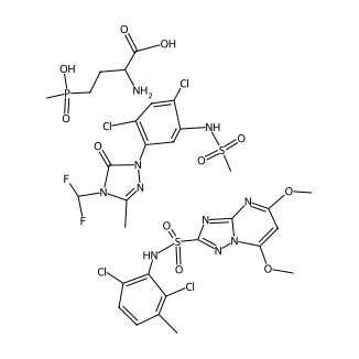 COc1cc(OC)n2nc(S(=O)(=O)Nc3c(Cl)ccc(C)c3Cl)nc2n1.CP(=O)(O)CCC(N)C(=O)O.Cc1nn(-c2cc(NS(C)(=O)=O)c(Cl)cc2Cl)c(=O)n1C(F)F